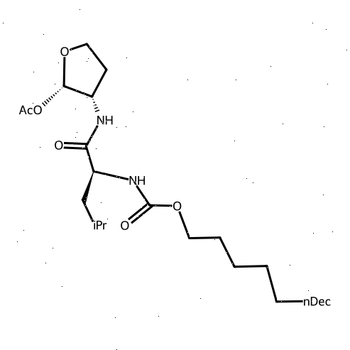 CCCCCCCCCCCCCCCOC(=O)N[C@@H](CC(C)C)C(=O)N[C@H]1CCO[C@H]1OC(C)=O